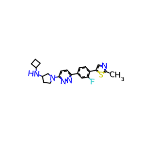 Cc1ncc(-c2ccc(-c3ccc(N4CCC(NC5CCC5)C4)nn3)cc2F)s1